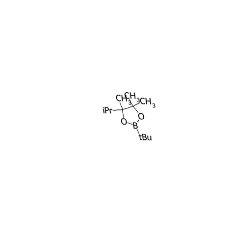 CC(C)C1(C)OB(C(C)(C)C)OC1(C)C